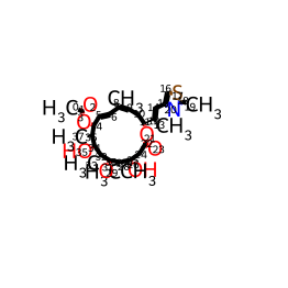 CC(=O)OC1/C=C/C(C)=C\C[C@@H](/C(C)=C/c2csc(C)n2)OC(=O)C[C@H](O)C(C)(C)C(=O)[C@H](C)[C@@H](O)[C@H]1C